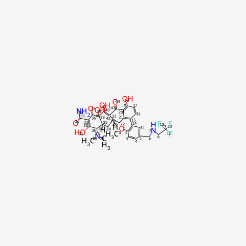 COc1ccc(CNCC(F)(F)F)cc1-c1ccc(O)c2c1C[C@@H]1C[C@H]3C(N(C)C)C(O)=C(C(N)=O)C(=O)[C@]3(O)C(O)=C1C2=O